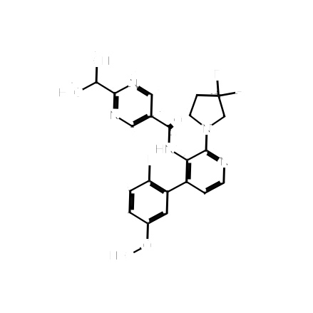 COc1ccc(F)c(-c2ccnc(N3CCC(F)(F)C3)c2NC(=O)c2cnc(C(C)C)nc2)c1